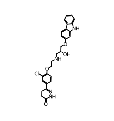 O=C1CCC(c2ccc(OCCNC[C@H](O)COc3ccc4c(c3)[nH]c3ccccc34)c(Cl)c2)=NN1